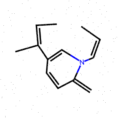 C=C1C=CC(/C(C)=C\C)=CN1/C=C\C